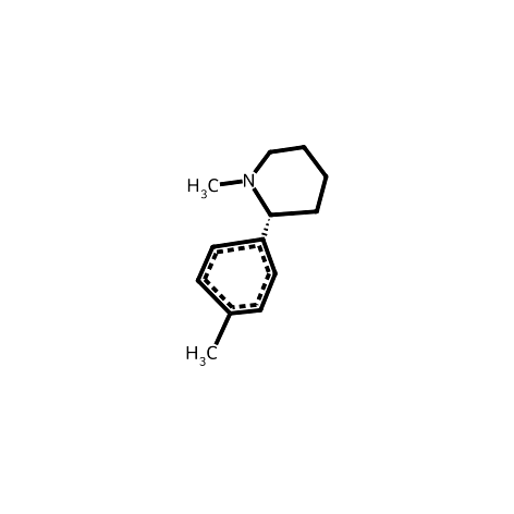 Cc1ccc([C@H]2CCCCN2C)cc1